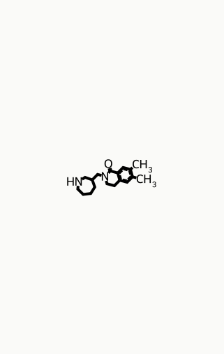 Cc1cc2c(cc1C)C(=O)N(CC1CCCCNC1)CC2